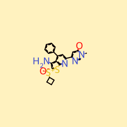 Cn1cnc(-c2cc(-c3ccccc3)c3c(N)c([S@+]([O-])C4CCC4)sc3n2)cc1=O